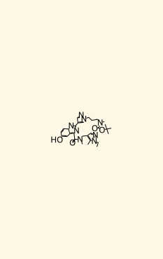 CCn1ncc(CN(C)C(=O)c2nc(-c3cnn(CCCN(C)C(=O)OC(C)(C)C)c3)nc3ccc(O)cc23)c1C